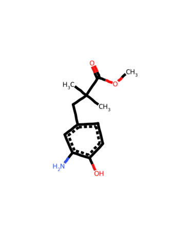 COC(=O)C(C)(C)Cc1ccc(O)c(N)c1